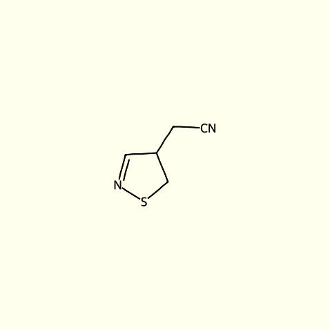 N#CCC1C=NSC1